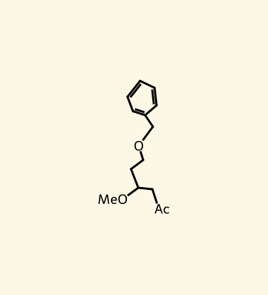 COC(CCOCc1ccccc1)CC(C)=O